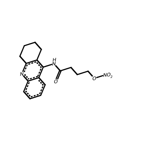 O=C(CCCO[N+](=O)[O-])Nc1c2c(nc3ccccc13)CCCC2